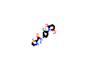 O=C(Nc1ccc(N2C(=O)CCC2=O)c(Cl)c1)c1nccs1